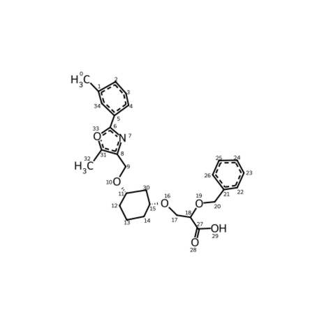 Cc1cccc(-c2nc(CO[C@H]3CCC[C@@H](OCC(OCc4ccccc4)C(=O)O)C3)c(C)o2)c1